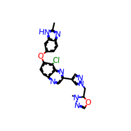 Cc1nc2ccc(Oc3ccc4ncc(-c5cnn(CC6OC=NN6C)c5)nc4c3Cl)cc2[nH]1